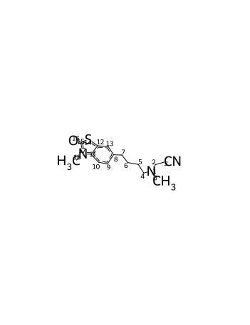 CN(CC#N)CCCCc1ccc2c(c1)sc(=O)n2C